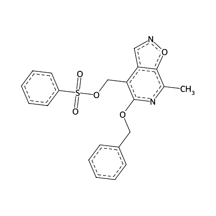 Cc1nc(OCc2ccccc2)c(COS(=O)(=O)c2ccccc2)c2cnoc12